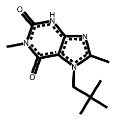 Cc1nc2[nH]c(=O)n(C)c(=O)c2n1CC(C)(C)C